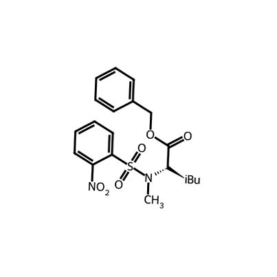 CC[C@H](C)[C@@H](C(=O)OCc1ccccc1)N(C)S(=O)(=O)c1ccccc1[N+](=O)[O-]